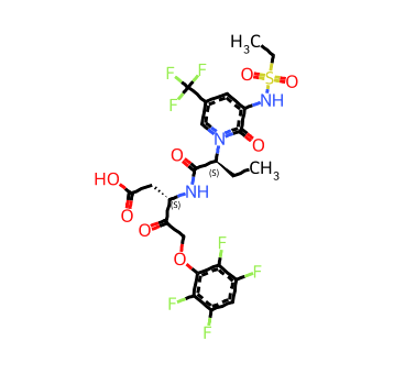 CC[C@@H](C(=O)N[C@@H](CC(=O)O)C(=O)COc1c(F)c(F)cc(F)c1F)n1cc(C(F)(F)F)cc(NS(=O)(=O)CC)c1=O